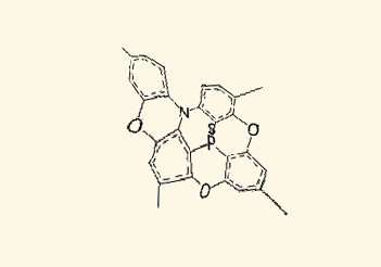 Cc1ccc2c(c1)Oc1cc(C)c3c4c1N2c1ccc(C)c2c1P4(=S)c1c(cc(C)cc1O3)O2